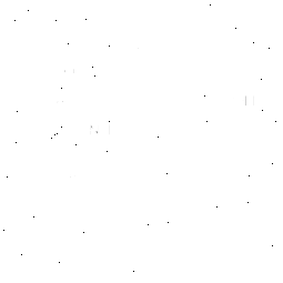 C=CCc1ccccc1O.O=C1C=CC(=O)N1